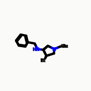 CCC1CN(C(C)(C)C)CC1NCc1ccccc1